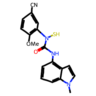 COc1ccc(C#N)cc1N(S)C(=O)Nc1cccc2c1ccn2C